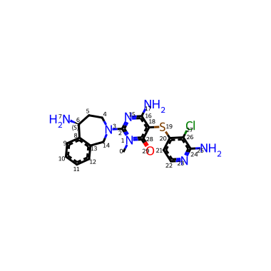 Cn1c(N2CC[C@H](N)c3ccccc3C2)nc(N)c(Sc2ccnc(N)c2Cl)c1=O